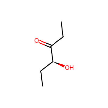 CCC(=O)[C@@H](O)CC